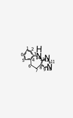 c1ccc2c(c1)CCc1cncnc1N2